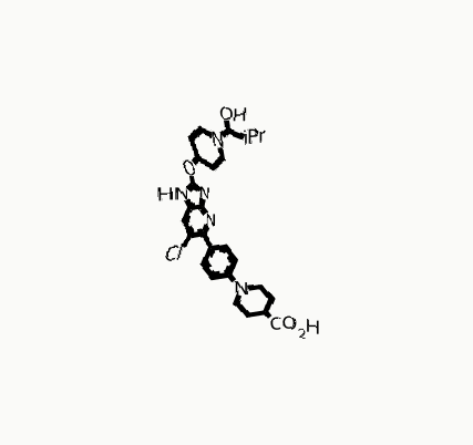 CC(C)C(O)N1CCC(Oc2nc3nc(-c4ccc(N5CCC(C(=O)O)CC5)cc4)c(Cl)cc3[nH]2)CC1